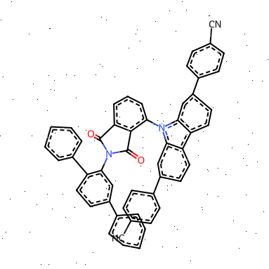 N#Cc1ccc(-c2ccc3c4ccc(-c5ccc(C#N)cc5)cc4n(-c4cccc5c4C(=O)N(c4cc(-c6ccccc6)ccc4-c4ccccc4)C5=O)c3c2)cc1